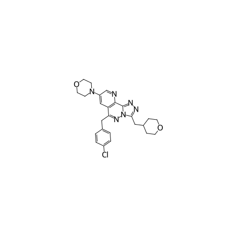 Clc1ccc(Cc2nn3c(CC4CCOCC4)nnc3c3ncc(N4CCOCC4)cc23)cc1